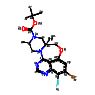 C[C@@H]1CN2c3ncnc4c(F)c(Br)cc(c34)OC[C@@H]2CN1C(=O)OC(C)(C)C